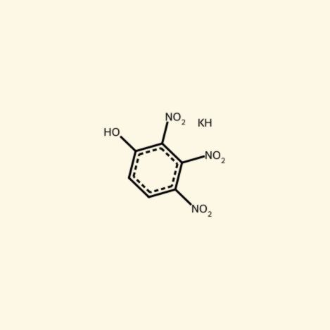 O=[N+]([O-])c1ccc(O)c([N+](=O)[O-])c1[N+](=O)[O-].[KH]